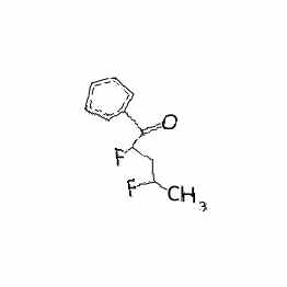 CC(F)CC(F)C(=O)c1ccccc1